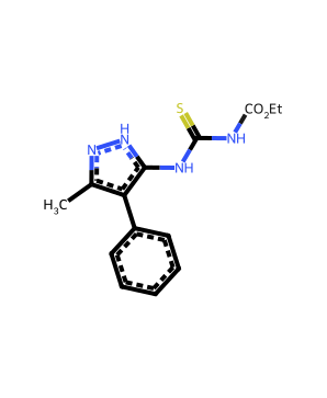 CCOC(=O)NC(=S)Nc1[nH]nc(C)c1-c1ccccc1